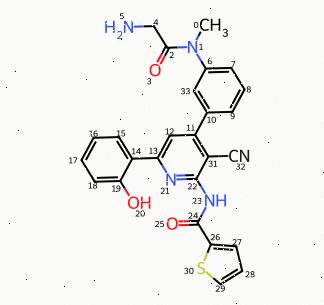 CN(C(=O)CN)c1cccc(-c2cc(-c3ccccc3O)nc(NC(=O)c3cccs3)c2C#N)c1